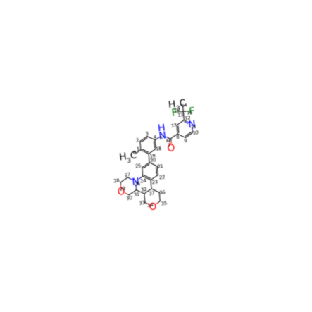 Cc1ccc(NC(=O)c2ccnc(C(C)(F)F)c2)cc1-c1ccc2c(c1)N1CCOCC1C1COCCC21